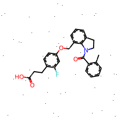 Cc1ccccc1C(=O)N1CCc2cccc(COc3ccc(CCC(=O)O)c(F)c3)c21